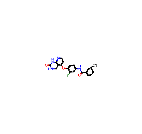 N#Cc1cccc(C(=O)Nc2ccc(Oc3ccnc4c3CNC(=O)N4)c(F)c2)c1